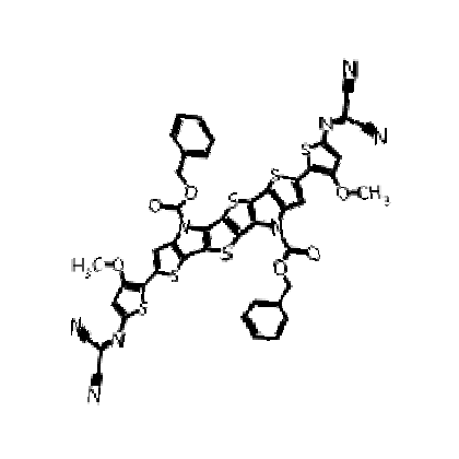 COc1cc(N=C(C#N)C#N)sc1-c1cc2c(s1)c1sc3c(sc4c5sc(-c6sc(N=C(C#N)C#N)cc6OC)cc5n(C(=O)OCc5ccccc5)c43)c1n2C(=O)OCc1ccccc1